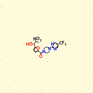 CC(C(O)c1ccc(C(=O)N2CCN(c3ncc(C(F)(F)F)cn3)CC2)o1)[N+](=O)[O-]